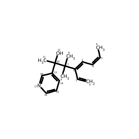 C=C/C(=C\C=C/C)C(C)(C)C(C)(O)c1cccnc1